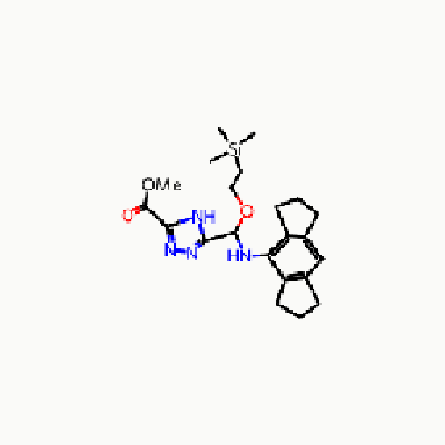 COC(=O)c1nnc(C(Nc2c3c(cc4c2CCC4)CCC3)OCC[Si](C)(C)C)[nH]1